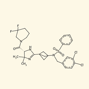 CC1(C)N=C(C23CC(N(Cc4ccc(Cl)c(Cl)c4)S(=O)(=O)c4ccccc4)(C2)C3)N[C@H]1C(=O)N1CCCC(F)(F)C1